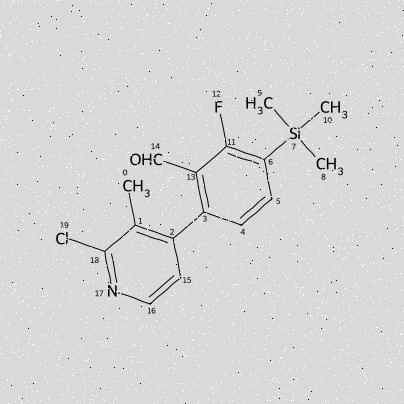 Cc1c(-c2ccc([Si](C)(C)C)c(F)c2C=O)ccnc1Cl